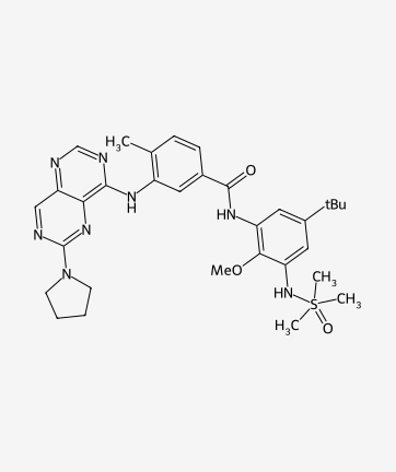 COc1c(NC(=O)c2ccc(C)c(Nc3ncnc4cnc(N5CCCC5)nc34)c2)cc(C(C)(C)C)cc1NS(C)(C)(C)=O